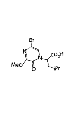 COc1nc(Br)cn(C(CC(C)C)C(=O)O)c1=O